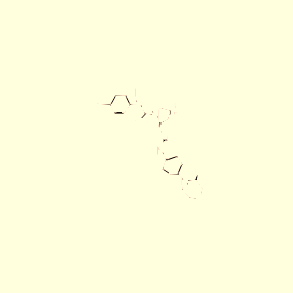 O=C(Nc1ccc(N2CCOCC2=O)cc1)O[C@@H]1C[C@@H](O)CN1C(=S)Nc1ccc(Cl)cc1